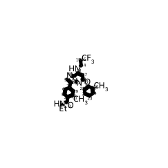 CCNC(=O)c1ccc(-c2cnc3c(NCCC(F)(F)F)cc(Oc4ccccc4C)nn23)cc1C